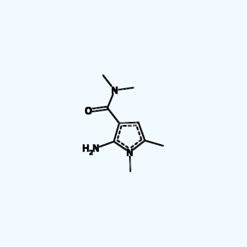 Cc1cc(C(=O)N(C)C)c(N)n1C